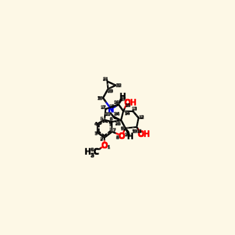 COc1ccc2c3c1O[C@H]1C(O)CCC4(O)[C@@H](C2)N(CC2CC2)CC[C@]314